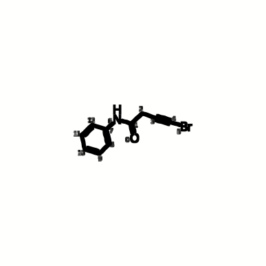 O=C(CC#CBr)Nc1ccccc1